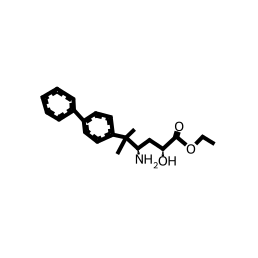 CCOC(=O)[C@H](O)C[C@H](N)C(C)(C)c1ccc(-c2ccccc2)cc1